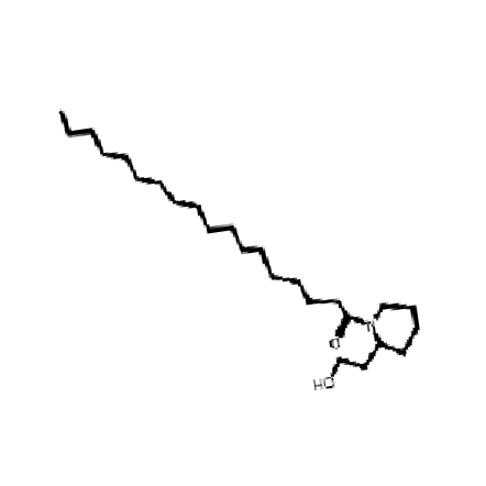 CCCCCCCCCCCCCCCCCC(=O)N1CCCCC1CCO